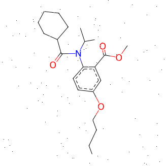 CCCCOc1ccc(N(C(=O)C2CCCCC2)C(C)C)c(C(=O)OC)c1